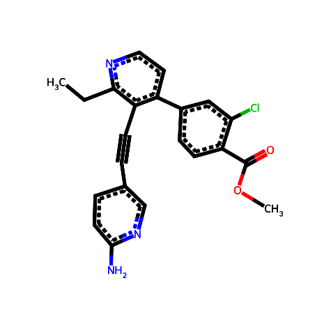 CCc1nccc(-c2ccc(C(=O)OC)c(Cl)c2)c1C#Cc1ccc(N)nc1